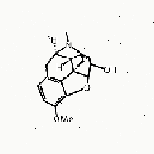 [2H][C@]12Cc3ccc(OC)c4c3[C@@]3(CCN1C)C(O4)C(O)C=C[C@H]32